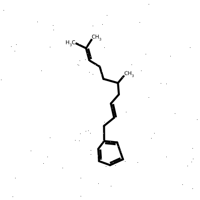 CC(C)=CCCC(C)CC=CCc1ccccc1